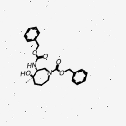 C[C@@]1(O)CCCN(C(=O)OCc2ccccc2)C[C@@H]1NC(=O)OCc1ccccc1